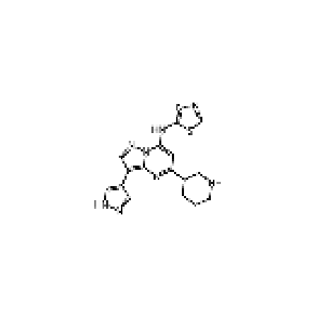 c1nnc(Nc2cc(C3CCCNC3)nc3c(-c4cn[nH]c4)cnn23)s1